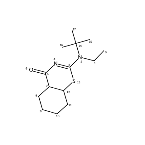 CCN(C1=NC(=O)C2CCCCC2S1)C(C)(C)C